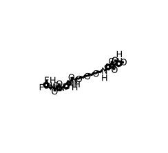 O=C1CCC(N2C(=O)c3ccc(NCCCOCCCOCCCOCNC(=O)c4cc5cc(N6CCC(O)(C(=O)NCc7cc(F)cc(F)c7)C6=O)ccc5[nH]4)cc3C2=O)C(=O)N1